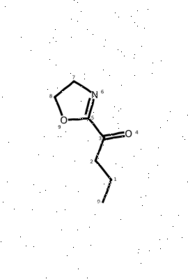 CCCC(=O)C1=NCCO1